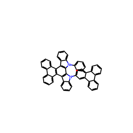 c1ccc(-n2c3ccccc3c3c4c5ccccc5c5ccccc5c4c4c5ccccc5n(-c5ccc6c7ccccc7c7ccccc7c6c5)c4c32)cc1